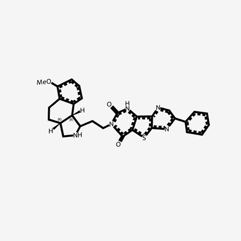 COc1cccc2c1CC[C@H]1CNC(CCn3c(=O)[nH]c4c(sc5nc(-c6ccccc6)cnc54)c3=O)[C@@H]21